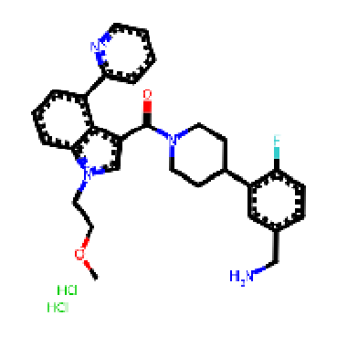 COCCn1cc(C(=O)N2CCC(c3cc(CN)ccc3F)CC2)c2c(-c3ccccn3)cccc21.Cl.Cl